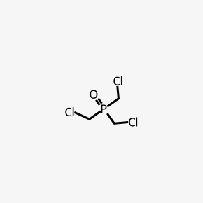 O=P(CCl)(CCl)CCl